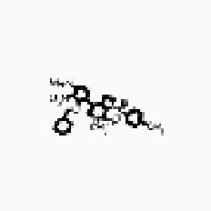 CNc1ccc(-c2cn(C)c(=O)c3c2ccn3S(=O)(=O)c2ccc(C)cc2)c(OCC2CCCCC2)c1[N+](=O)[O-]